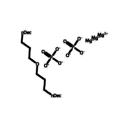 CCCCCCCCCCCCCOCCCCCCCCCCCCC.O=P([O-])([O-])[O-].O=P([O-])([O-])[O-].[Mg+2].[Mg+2].[Mg+2]